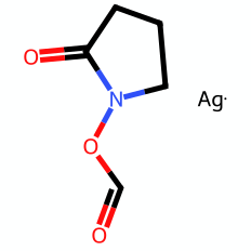 O=CON1CCCC1=O.[Ag]